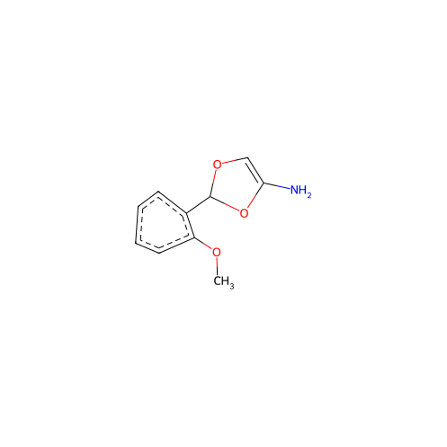 COc1ccccc1C1OC=C(N)O1